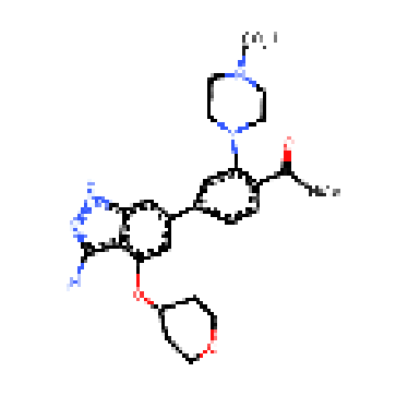 CNC(=O)c1ccc(-c2cc(OC3CCOCC3)c3c(N)n[nH]c3c2)cc1N1CCN(C(=O)O)CC1